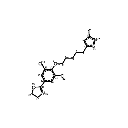 Cc1cc(CCCCCOc2c(Cl)cc(C3=NCCO3)cc2Cl)sn1